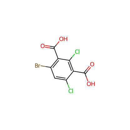 O=C(O)c1c(Cl)cc(Br)c(C(=O)O)c1Cl